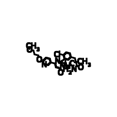 COCCCOc1ccc(-c2cc(=O)[nH]c(-c3cc(CC(C)(C)C(N)=O)ccc3Cl)n2)cn1